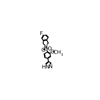 COc1cc(-c2cn[nH]c2)ccc1S(=O)(=O)N1Cc2ccc(F)cc2C1